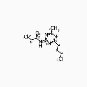 Cc1nc(CCCCl)nc(NC(=O)CCl)n1